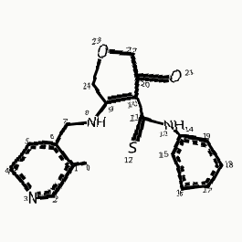 Cc1cnccc1CNC1=C(C(=S)Nc2ccccc2)C(=O)COC1